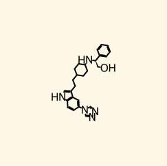 OC[C@@H](NC1CCC(CCc2c[nH]c3ccc(-n4cnnc4)cc23)CC1)c1ccccc1